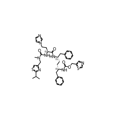 CC(C)c1nc(CN(C)C(=O)N[C@@H](CCn2ccnc2)C(=O)N[C@@H](CC[C@@H](Cc2ccccc2)NC(=O)OCc2cncs2)Cc2ccccc2)cs1